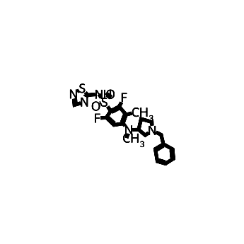 Cc1c(N(C)C2CCN(Cc3ccccc3)C2)cc(F)c(S(=O)(=O)Nc2ncns2)c1F